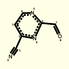 N#Cc1ccnc(C=O)n1